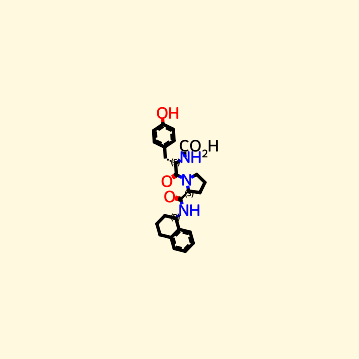 O=C(O)N[C@@H](Cc1ccc(O)cc1)C(=O)N1CCC[C@H]1C(=O)N[C@@H]1CCCc2ccccc21